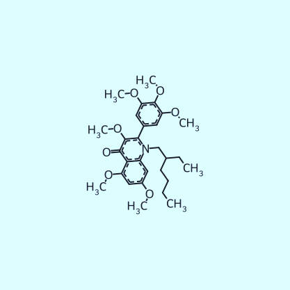 CCCCC(CC)Cn1c(-c2cc(OC)c(OC)c(OC)c2)c(OC)c(=O)c2c(OC)cc(OC)cc21